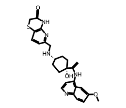 C=C(Nc1ccnc2ccc(OC)cc12)[C@]1(O)CC[C@@H](NCc2ccc3c(n2)NC(=O)CS3)CC1